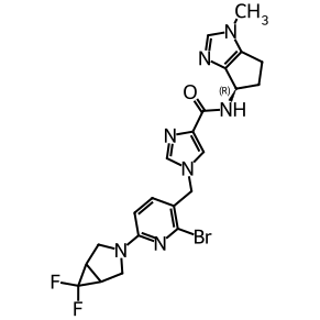 Cn1cnc2c1CC[C@H]2NC(=O)c1cn(Cc2ccc(N3CC4C(C3)C4(F)F)nc2Br)cn1